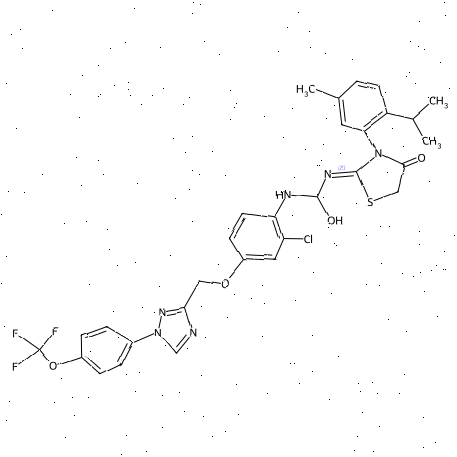 Cc1ccc(C(C)C)c(N2C(=O)CS/C2=N\C(O)Nc2ccc(OCc3ncn(-c4ccc(OC(F)(F)F)cc4)n3)cc2Cl)c1